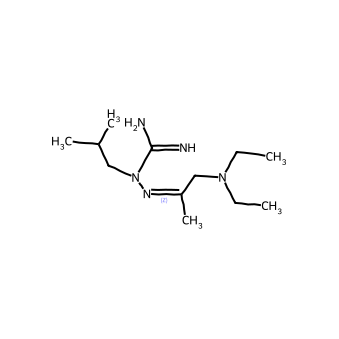 CCN(CC)C/C(C)=N\N(CC(C)C)C(=N)N